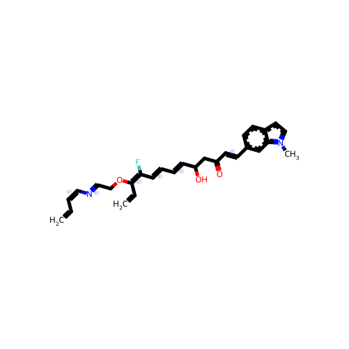 C=C/C=C\N=C\CO/C(C=C)=C(F)/C=C/C=C/C(O)CC(=O)/C=C/c1ccc2ccn(C)c2c1